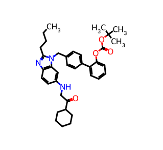 CCCCc1nc2ccc(NCC(=O)C3CCCCC3)cc2n1Cc1ccc(-c2ccccc2OC(=O)OC(C)(C)C)cc1